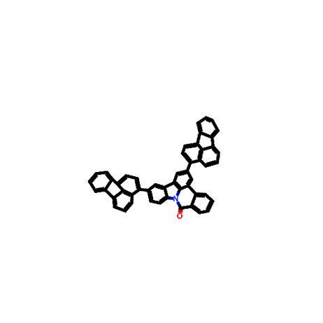 O=c1c2ccccc2c2cc(-c3ccc4c5c(cccc35)-c3ccccc3-4)cc3c4cc(-c5ccc6c7c(cccc57)-c5ccccc5-6)ccc4n1c23